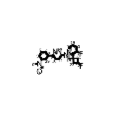 CN(C=O)c1cccc(-c2ccc(NCC3(c4ncccc4F)CC(F)C3)nn2)c1